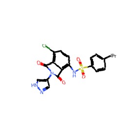 CC(C)c1ccc(S(=O)(=O)Nc2ccc(Cl)c3c2C(=O)N(c2cn[nH]c2)C3=O)cc1